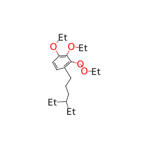 CCOOc1c(CCCC(CC)CC)ccc(OCC)c1OCC